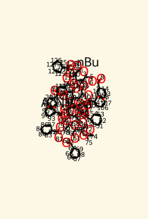 CCCCO[C@@H]1OC(COC(=O)c2ccccc2)[C@@H](O[C@@H]2OC(COC(=O)c3ccccc3)[C@H](OC(=O)c3ccccc3)C(O[C@@H]3OC(COC(=O)c4ccccc4)[C@@H](O[C@H](OC(COC(=O)c4ccccc4)[C@H]4COC(C)(C)O4)[C@H](C)OC(=O)c4ccccc4)C(OC(=O)c4ccccc4)[C@@H]3NC(C)=O)[C@@H]2OC(=O)c2ccccc2)C(OC(=O)c2ccccc2)[C@@H]1OC(=O)c1ccccc1